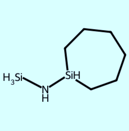 [SiH3]N[SiH]1CCCCCC1